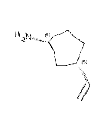 C=C[C@H]1CC[C@@H](N)C1